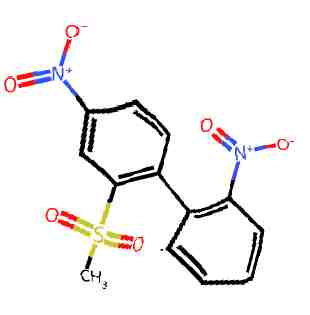 CS(=O)(=O)c1cc([N+](=O)[O-])ccc1-c1[c]cccc1[N+](=O)[O-]